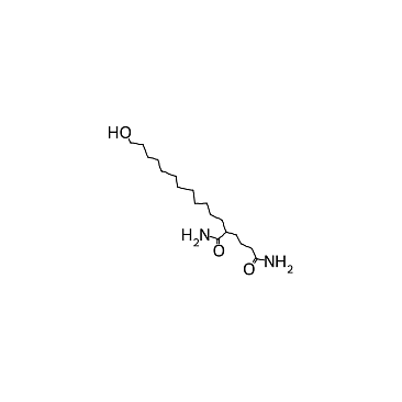 NC(=O)CCCC(CCCCCCCCCCCCO)C(N)=O